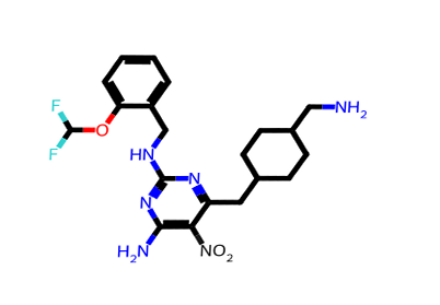 NCC1CCC(Cc2nc(NCc3ccccc3OC(F)F)nc(N)c2[N+](=O)[O-])CC1